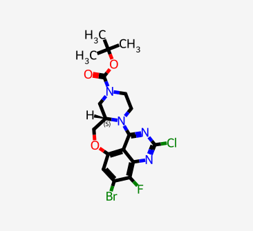 CC(C)(C)OC(=O)N1CCN2c3nc(Cl)nc4c(F)c(Br)cc(c34)OC[C@@H]2C1